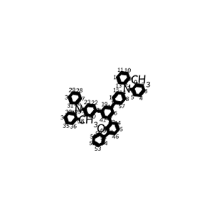 Cc1ccccc1N(c1ccccc1)c1ccc(-c2cc(-c3ccc(N(c4ccccc4)c4ccccc4C)cc3)cc(-c3cccc4c3oc3ccccc34)c2)cc1